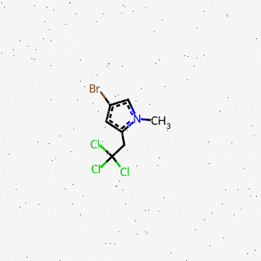 Cn1cc(Br)cc1CC(Cl)(Cl)Cl